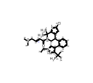 BC1(B)c2sc(Cl)cc2C(c2ccccc2-c2cn(CC)nc2C(F)(P)I)CN1C(=O)/C=C/CN(C)C